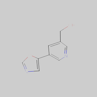 OCc1cncc(-c2cnco2)c1